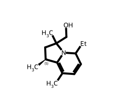 CCC1C=CC(C)=C2[C@@H](C)CC(C)(CO)N21